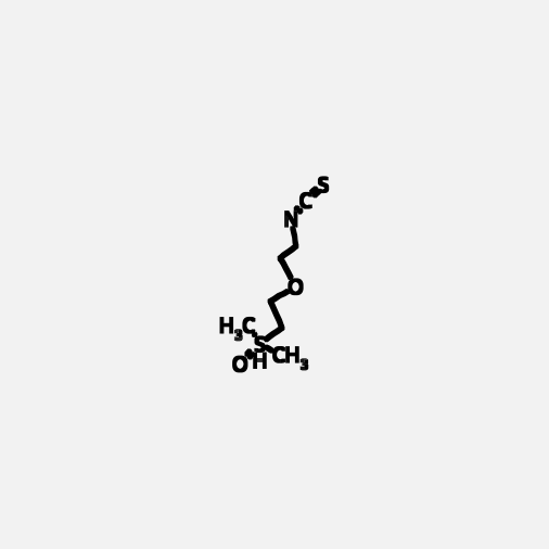 C[SH](C)(=O)CCOCCN=C=S